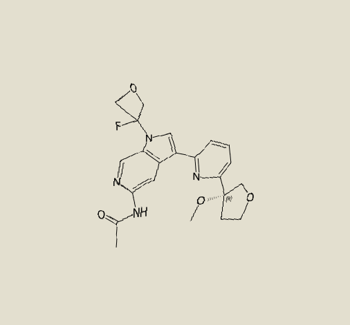 CO[C@@]1(c2cccc(-c3cn(C4(F)COC4)c4cnc(NC(C)=O)cc34)n2)CCOC1